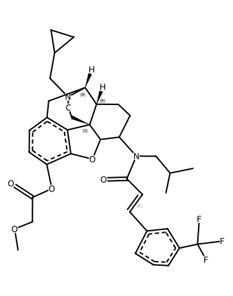 COCC(=O)Oc1ccc2c3c1OC1C(N(CC(C)C)C(=O)/C=C/c4cccc(C(F)(F)F)c4)CC[C@H]4[C@@H](C2)N(CC2CC2)CC[C@]314